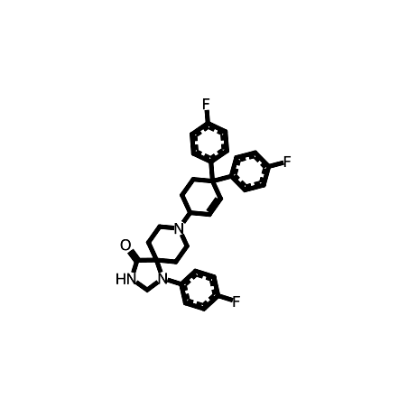 O=C1NCN(c2ccc(F)cc2)C12CCN(C1C=CC(c3ccc(F)cc3)(c3ccc(F)cc3)CC1)CC2